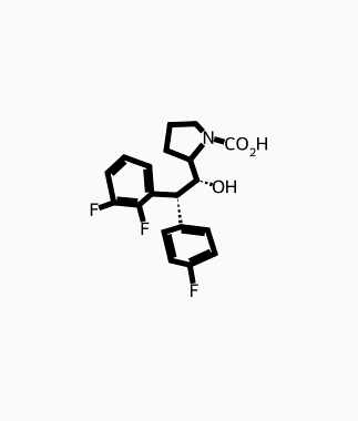 O=C(O)N1CCCC1[C@H](O)[C@H](c1ccc(F)cc1)c1cccc(F)c1F